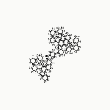 c1ccc(C2(c3ccccc3)c3ccccc3-c3c4sc5ccccc5c4c4ccc5cc6c7cc(-c8cccc9c8oc8c%10c%11c(cc%12ccc%13c%14c(cc(c89)c%11c%12%14)[Si](c8ccccc8)(c8ccccc8)c8ccccc8-%13)[Si](c8ccccc8)(c8ccccc8)c8ccccc8-%10)ccc7sc6c6cc2c3c4c56)cc1